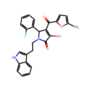 Cc1ccc(C(=O)C2=C(O)C(=O)N(CCc3c[nH]c4ccccc34)C2c2ccccc2F)o1